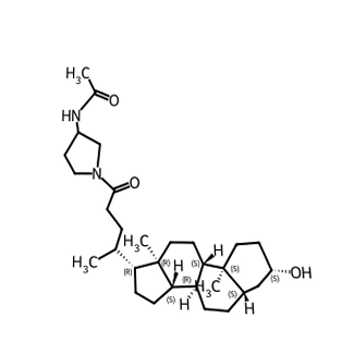 CC(=O)NC1CCN(C(=O)CCC(C)[C@H]2CC[C@H]3[C@@H]4CC[C@H]5C[C@@H](O)CC[C@]5(C)[C@H]4CC[C@]23C)C1